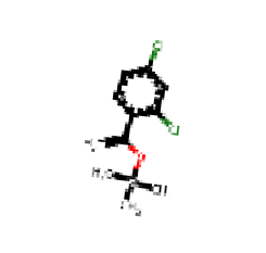 C=C(O[Si](C)(C)C)c1ccc(Cl)cc1Cl